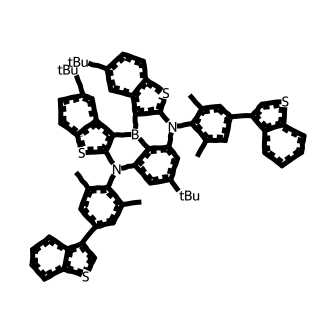 Cc1cc(-c2csc3ccccc23)cc(C)c1N1c2cc(C(C)(C)C)cc3c2B(c2c1sc1ccc(C(C)(C)C)cc21)c1c(sc2ccc(C(C)(C)C)cc12)N3c1c(C)cc(-c2csc3ccccc23)cc1C